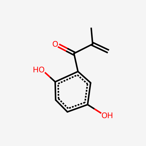 C=C(C)C(=O)c1cc(O)ccc1O